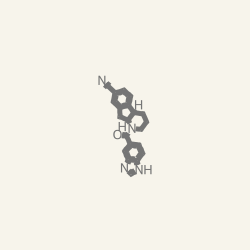 N#Cc1ccc2c(c1)C[C@@H]1[C@H]2CCCN1C(=O)c1ccc2[nH]cnc2c1